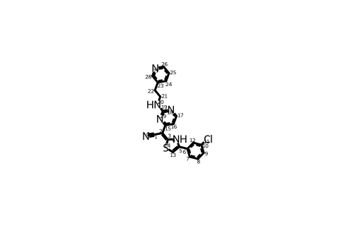 N#C/C(=C1/NC(c2cccc(Cl)c2)=CS1)c1ccnc(NCCc2cccnc2)n1